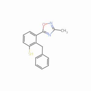 Cc1noc(-c2cccc(S)c2Cc2ccccc2)n1